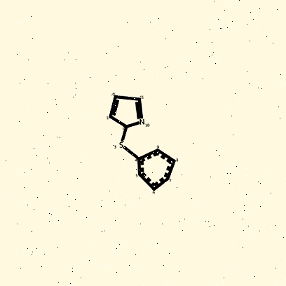 C1=C[C](Sc2ccccc2)N=C1